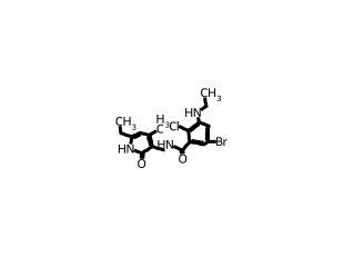 CCNc1cc(Br)cc(C(=O)NCc2c(C)cc(CC)[nH]c2=O)c1Cl